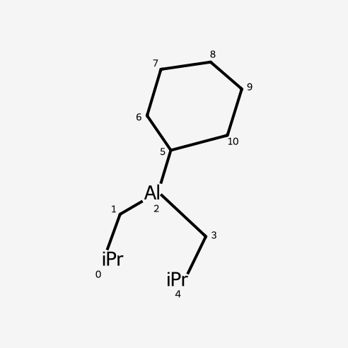 CC(C)[CH2][Al]([CH2]C(C)C)[CH]1CCCCC1